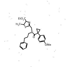 CCOC(=O)C1N=C(CN(CCCc2ccccc2)C(=O)C2(c3ccc(OC)cc3)CC2)SC1C